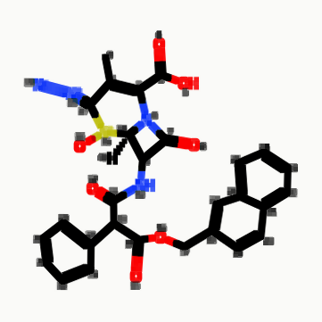 CC1=C(C(=O)O)N2C(=O)C(NC(=O)C(C(=O)OCc3ccc4ccccc4c3)c3ccccc3)[C@H]2[S+]([O-])C1=[N+]=[N-]